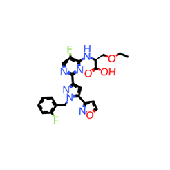 CCOC[C@H](Nc1nc(-c2cc(-c3ccon3)n(Cc3ccccc3F)n2)ncc1F)C(=O)O